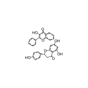 O=C1C[C@@H](c2ccc(O)cc2)Oc2cc(O)cc(O)c21.O=c1c(O)c(-c2ccccc2)oc2ccccc12